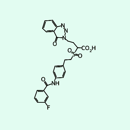 O=C(Nc1ccc(CCS(=O)(=O)C(CCn2nnc3ccccc3c2=O)C(=O)O)cc1)c1cccc(F)c1